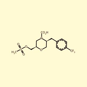 CS(=O)(=O)OC[C@H]1CN(C(=O)O)[C@@H](Cc2ccc(C(F)(F)F)cc2)CO1